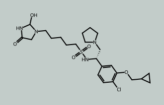 O=C1CN(CCCCCS(=O)(=O)N[C@H](CN2CCCC2)c2ccc(Cl)c(OCC3CC3)c2)C(O)N1